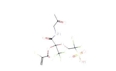 C=C(F)C(=O)OC(OCC(F)(F)S(=O)(=O)O)(C(=O)NCC(C)=O)C(F)(F)F